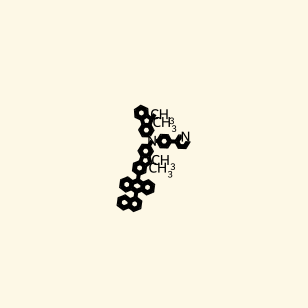 CC1(C)c2ccccc2-c2ccc(N(c3ccc(-c4cccnc4)cc3)c3ccc4c(c3)C(C)(C)c3cc(-c5c6ccccc6c(-c6cccc7ccccc67)c6ccccc56)ccc3-4)cc21